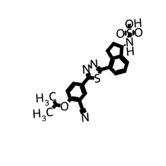 CC(C)Oc1ccc(-c2nnc(-c3cccc4c3CC[C@@H]4NS(=O)(=O)O)s2)cc1C#N